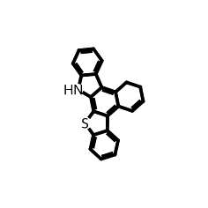 C1=Cc2c(c3c4ccccc4[nH]c3c3sc4ccccc4c23)CC1